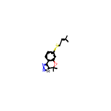 CC(C)=CCSc1ccc2c(c1)OC(C)(C)c1[se]nnc1-2